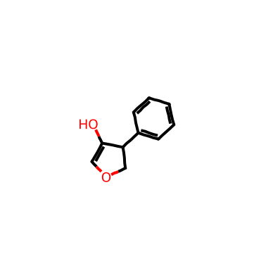 OC1=COCC1c1ccccc1